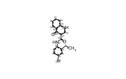 CCc1cc(Br)ccc1NC(=O)c1c[nH]c2ccccc2c1=O